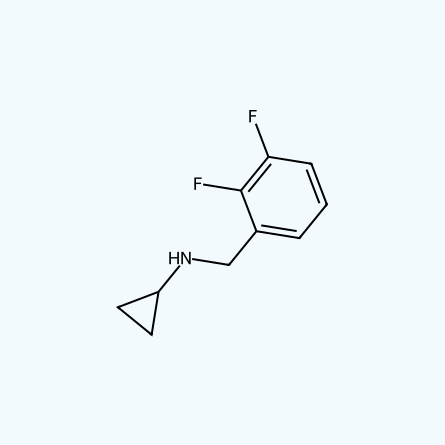 Fc1cccc(CNC2CC2)c1F